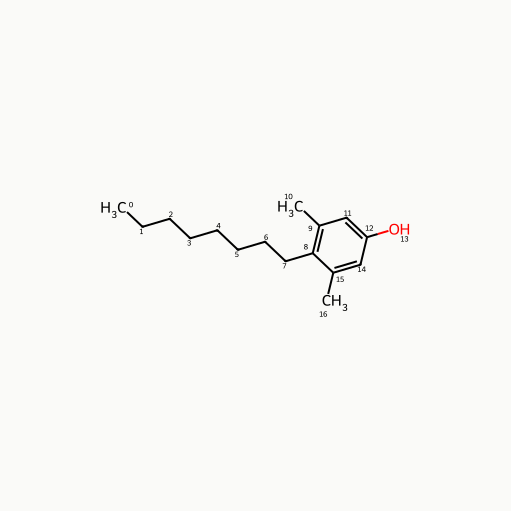 CCCCCCCCc1c(C)cc(O)cc1C